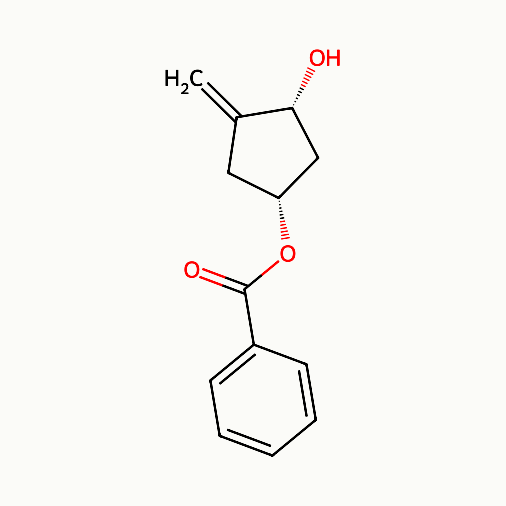 C=C1C[C@@H](OC(=O)c2ccccc2)C[C@H]1O